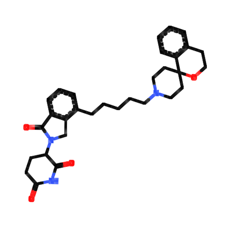 O=C1CCC(N2Cc3c(CCCCCN4CCC5(CC4)OCCc4ccccc45)cccc3C2=O)C(=O)N1